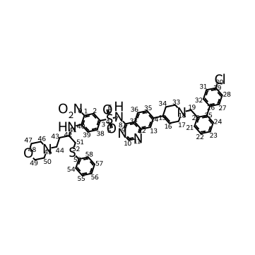 O=[N+]([O-])c1cc(S(=O)(=O)Nc2ncnc3cc(C4=CCN(Cc5ccccc5-c5ccc(Cl)cc5)CC4)ccc23)ccc1NC(CCN1CCOCC1)CSc1ccccc1